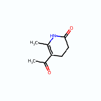 CC(=O)C1=C(C)NC(=O)CC1